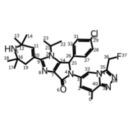 Cc1cc(N2C(=O)c3nc(C4=CC(C)(C)NC(C)(C)C4)n(C(C)C)c3C2c2ccc(Cl)cc2)cn2c(CF)nnc12